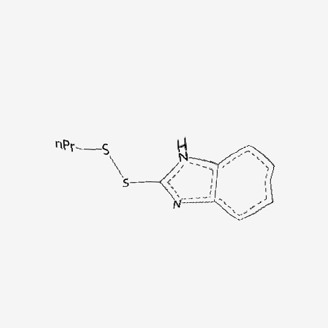 CCCSSc1nc2ccccc2[nH]1